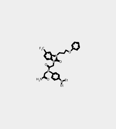 CCN(CC)c1ccc(N(CC(N)=O)C(=O)Cn2c(=O)n(CCCOc3ccccc3)c3cc(C(F)(F)F)ccc32)cc1